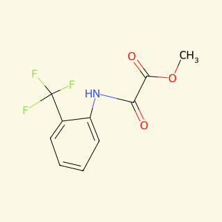 COC(=O)C(=O)Nc1ccccc1C(F)(F)F